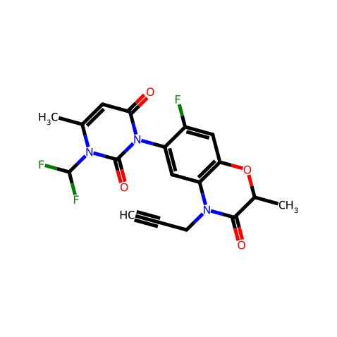 C#CCN1C(=O)C(C)Oc2cc(F)c(-n3c(=O)cc(C)n(C(F)F)c3=O)cc21